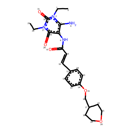 CCn1c(N)c(NC(=O)/C=C/c2ccc(OCC3CCOCC3)cc2)c(=O)n(CC)c1=O